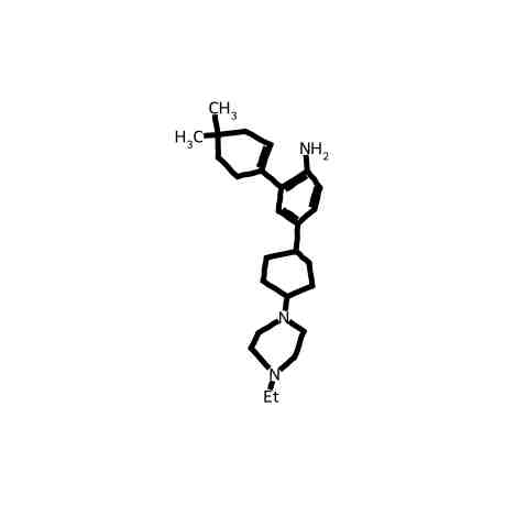 CCN1CCN(C2CCC(c3ccc(N)c(C4=CCC(C)(C)CC4)c3)CC2)CC1